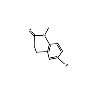 CN1C(=O)CCc2cc(Br)[c]cc21